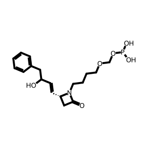 O=C1C[C@H](/C=C/C(O)Cc2ccccc2)N1CCCCOCOP(O)O